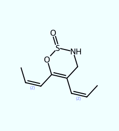 C/C=C\C1=C(/C=C\C)OS(=O)NC1